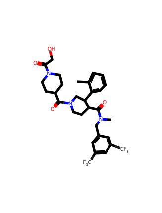 Cc1ccccc1C1CN(C(=O)C2CCN(C(=O)CO)CC2)CCC1C(=O)N(C)Cc1cc(C(F)(F)F)cc(C(F)(F)F)c1